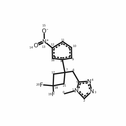 Cn1cnnc1CC1(c2cccc([N+](=O)[O-])c2)CC(F)(F)C1